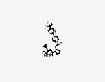 O=C(CN1CCCC1c1cc(C2CC2)c(=O)[nH]n1)N1CCN(c2ncc(C(F)(F)F)cn2)CC1